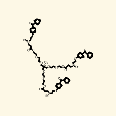 CCN(CCOc1ccc(C(=O)c2ccccc2)cc1)CCC(=O)OCCOCCOCC(C)(COCCOCCOC(=O)CCN(CC)CCOc1ccc(C(=O)c2ccccc2)cc1)COCCOCCOC(=O)CCN(CC)CCOc1ccc(C(=O)c2ccccc2)cc1